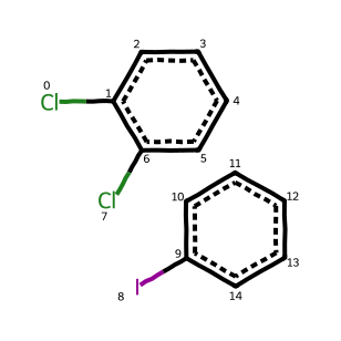 Clc1ccccc1Cl.Ic1ccccc1